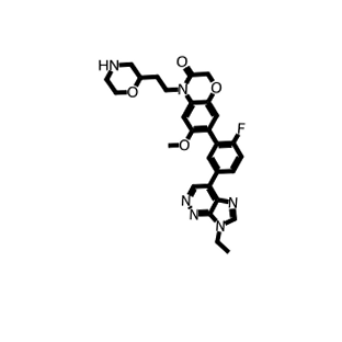 CCn1cnc2c(-c3ccc(F)c(-c4cc5c(cc4OC)N(CCC4CNCCO4)C(=O)CO5)c3)cnnc21